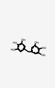 Oc1cc(Cc2cc(O)c(O)c(O)c2)cc(O)c1O